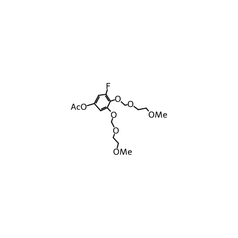 COCCOCOc1cc(OC(C)=O)cc(F)c1OCOCCOC